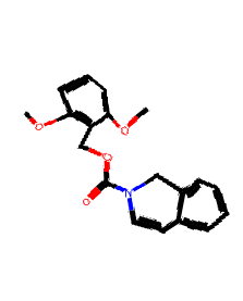 COc1cccc(OC)c1COC(=O)N1C=Cc2ccccc2C1